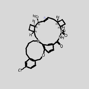 O=C1NS(=O)(=O)[C@@H]2CC[C@H]2C/C=C/[C@H](O)[C@@H]2CC[C@H]2CN2CCCCc3cc(Cl)ccc3COc3ccc1cc32